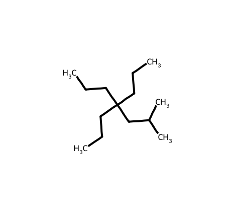 CCCC(CCC)(CCC)CC(C)C